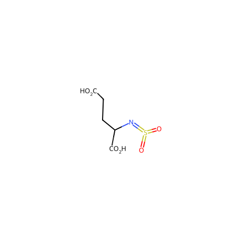 O=C(O)CCC(N=S(=O)=O)C(=O)O